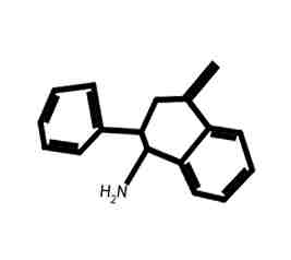 C=C1CC(c2ccccc2)C(N)c2ccccc21